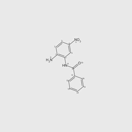 Nc1ccc([N+](=O)[O-])cc1NC(=O)c1ccccc1